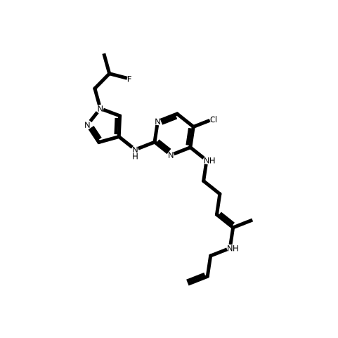 C=CCN/C(C)=C/CCNc1nc(Nc2cnn(CC(C)F)c2)ncc1Cl